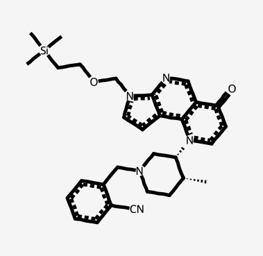 C[C@@H]1CCN(Cc2ccccc2C#N)C[C@@H]1n1ccc(=O)c2cnc3c(ccn3COCC[Si](C)(C)C)c21